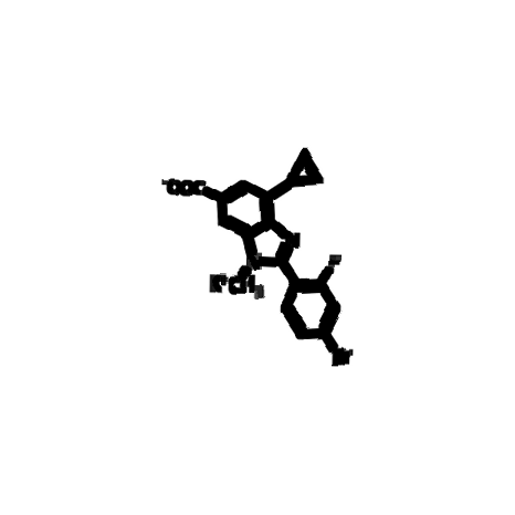 Cn1c(-c2ccc(Br)cc2F)nc2c(C3CC3)cc(C(=O)[O-])cc21.[K+]